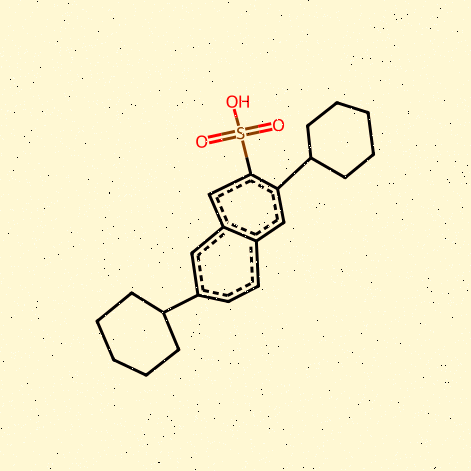 O=S(=O)(O)c1cc2cc(C3CCCCC3)ccc2cc1C1CCCCC1